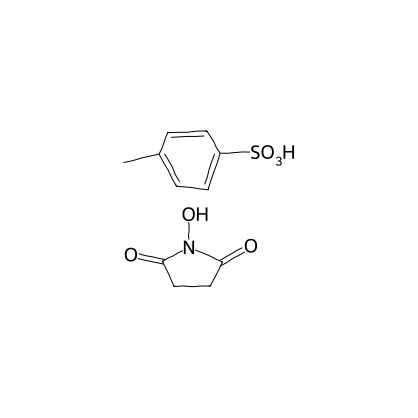 Cc1ccc(S(=O)(=O)O)cc1.O=C1CCC(=O)N1O